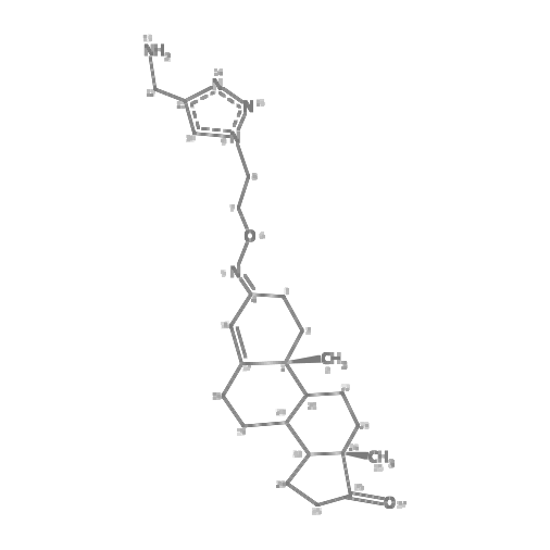 C[C@]12CC/C(=N\OCCn3cc(CN)nn3)C=C1CCC1C2CC[C@]2(C)C(=O)CCC12